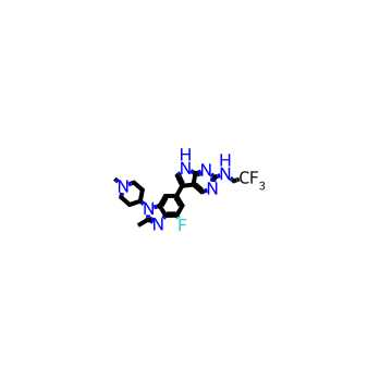 Cc1nc2c(F)cc(-c3c[nH]c4nc(NCC(F)(F)F)ncc34)cc2n1C1CCN(C)CC1